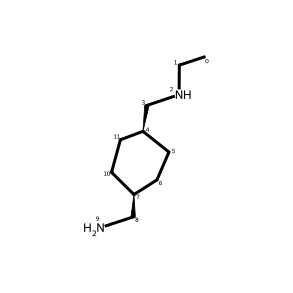 CCNC[C@H]1CC[C@@H](CN)CC1